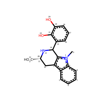 Cn1c2c(c3ccccc31)C[C@H](C(=O)O)NC2c1cccc(O)c1O